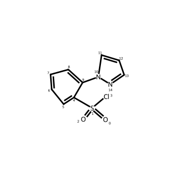 O=S(=O)(Cl)c1ccccc1-n1cccn1